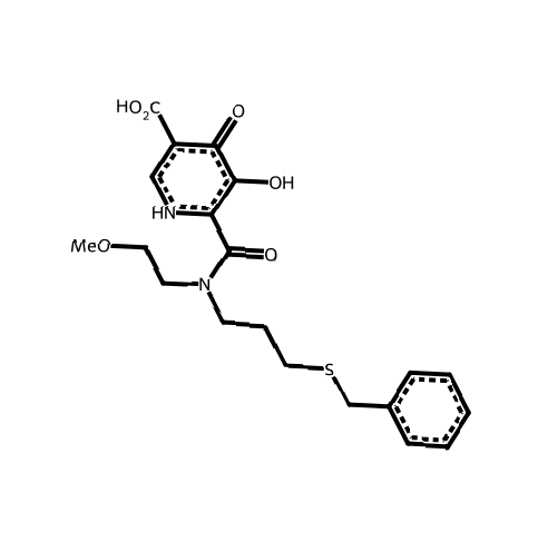 COCCN(CCCSCc1ccccc1)C(=O)c1[nH]cc(C(=O)O)c(=O)c1O